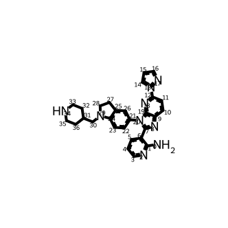 Nc1ncccc1-c1nc2ccc(-n3cccn3)nc2n1-c1ccc2c(c1)CCN2CC1CCNCC1